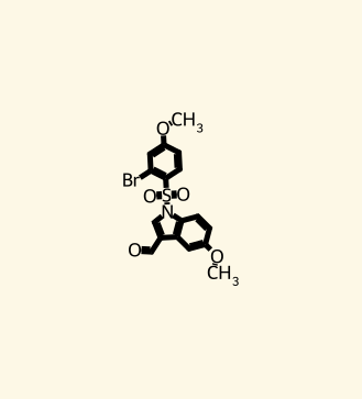 COc1ccc(S(=O)(=O)n2cc(C=O)c3cc(OC)ccc32)c(Br)c1